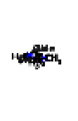 CO[C@@H](CN(C)C)[C@H](CN(C)C)OC